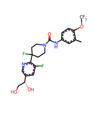 Cc1cc(NC(=O)N2CCC(F)(c3ncc([C@H](O)CO)cc3F)CC2)ccc1OC(F)(F)F